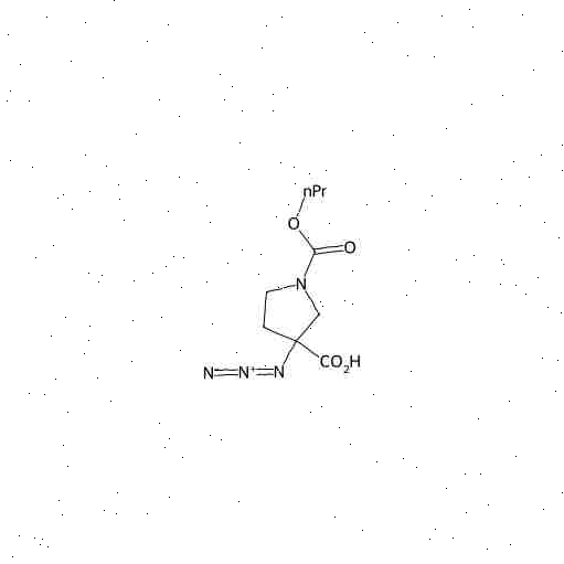 CCCOC(=O)N1CCC(N=[N+]=[N-])(C(=O)O)C1